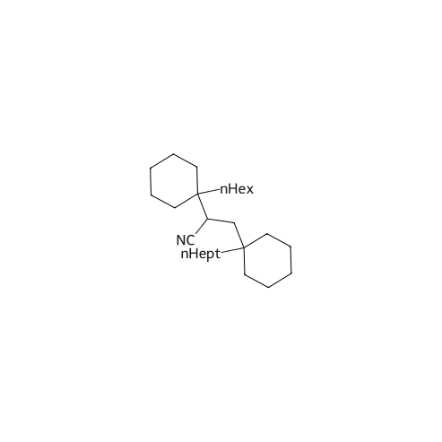 CCCCCCCC1(CC(C#N)C2(CCCCCC)CCCCC2)CCCCC1